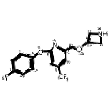 Fc1ccc(Oc2cc(C(F)(F)F)cc(COC3CNC3)n2)cc1